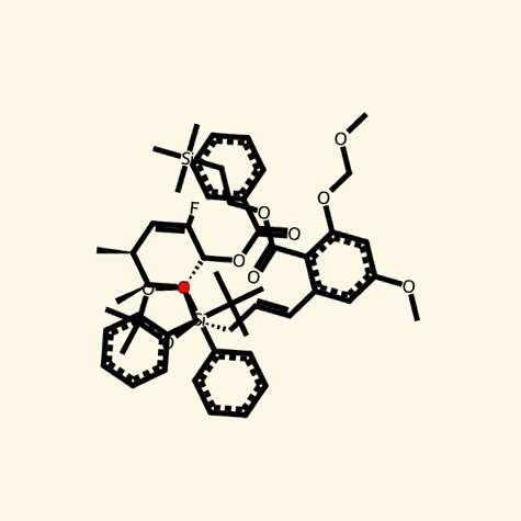 COCOc1cc(OC)cc(/C=C/C[C@@H]2OC(C)(C)O[C@@H]2C(OC(=O)c2ccccc2)/C(F)=C\[C@H](C)[C@H](C)O[Si](c2ccccc2)(c2ccccc2)C(C)(C)C)c1C(=O)OCC[Si](C)(C)C